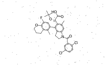 Cc1cc2c(c(-c3cc(F)c4c(c3C)CCCO4)c1[C@H](OC(C)(C)C)C(=O)O)CCN2C(=O)c1cc(Cl)ccc1Cl